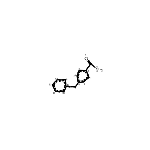 NC(=O)c1ccc(Cc2ccccc2)cc1